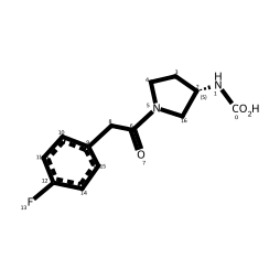 O=C(O)N[C@H]1CCN(C(=O)Cc2ccc(F)cc2)C1